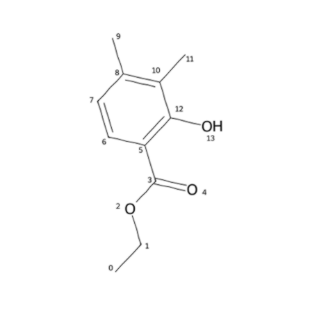 CCOC(=O)c1ccc(C)c(C)c1O